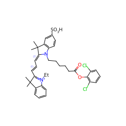 CC[N+]1=C(/C=C/C=C2\N(CCCCCC(=O)Oc3c(Cl)cccc3Cl)c3ccc(S(=O)(=O)O)cc3C2(C)C)C(C)(C)c2ccccc21